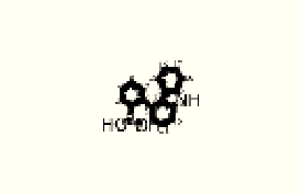 OB(O)c1ccccc1-c1cccc2[nH]c3ccccc3c12